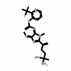 C=C(/N=C1\C(=N/C)N=C(C(=C)CCC(C)(N)CCC)N1C)Sc1cccnc1C(C)(I)I